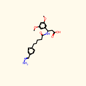 COc1cc(OC)cc(C(CC(=O)O)NC(=O)CCCCc2ccc(C=NN)cc2)c1